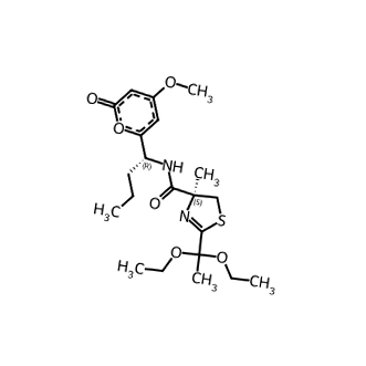 CCC[C@@H](NC(=O)[C@@]1(C)CSC(C(C)(OCC)OCC)=N1)c1cc(OC)cc(=O)o1